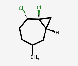 CC1CC[C@H](Cl)[C@]2(Cl)C[C@@H]2C1